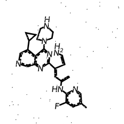 C=C(/C=C(\C=C/N)c1nc(N2CCNCC2)c2c(C3CC3)cncc2n1)Nc1ncc(C)cc1F